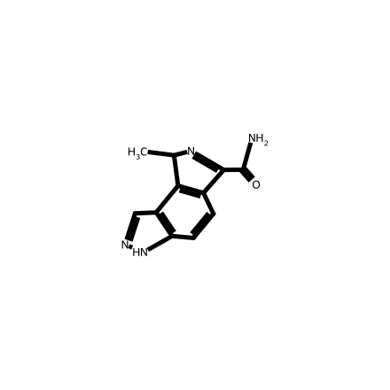 CC1N=C(C(N)=O)c2ccc3[nH]ncc3c21